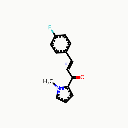 Cn1cccc1C(=O)/C=C/c1ccc(F)cc1